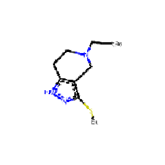 CCSc1n[nH]c2c1CN(CC(C)(C)C)CC2